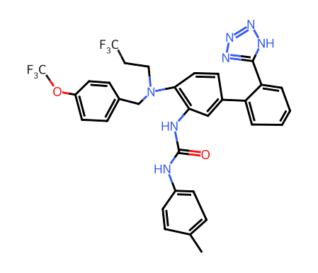 Cc1ccc(NC(=O)Nc2cc(-c3ccccc3-c3nnn[nH]3)ccc2N(CCC(F)(F)F)Cc2ccc(OC(F)(F)F)cc2)cc1